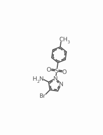 Cc1ccc(S(=O)(=O)n2ncc(Br)c2N)cc1